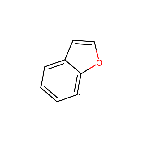 [c]1cc2ccc[c]c2o1